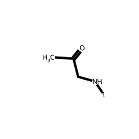 CC(=O)CNI